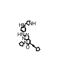 O=c1c(C#CC2CCCC2)cc2cnc(Nc3ccc(NC4CCNC4)cc3)nc2n1C1CCCC1